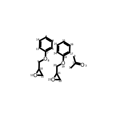 CC(C)=O.c1ccc(OCC2CO2)cc1.c1ccc(OCC2CO2)cc1